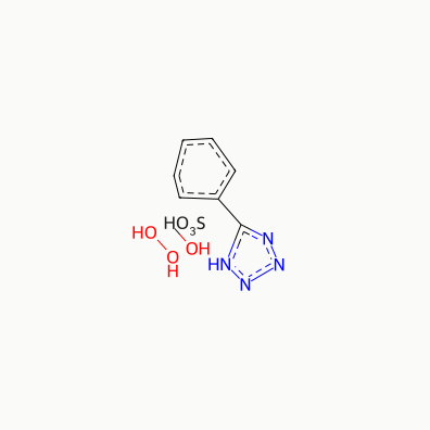 O=S(=O)(O)O.OO.c1ccc(-c2nnn[nH]2)cc1